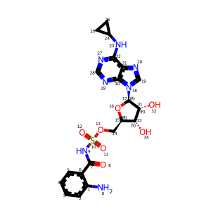 Nc1ccccc1C(=O)NS(=O)(=O)OC[C@H]1O[C@@H](n2cnc3c(NC4CC4)ncnc32)[C@H](O)[C@@H]1O